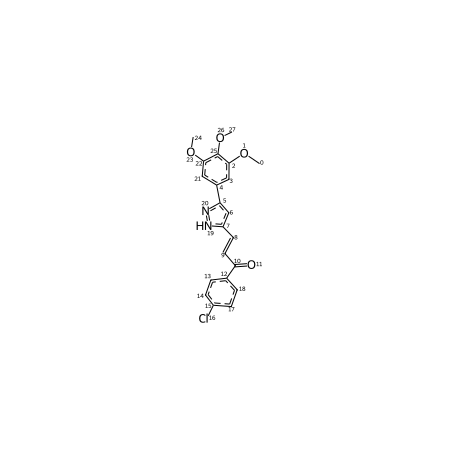 COc1cc(-c2cc(C=CC(=O)c3ccc(Cl)cc3)[nH]n2)cc(OC)c1OC